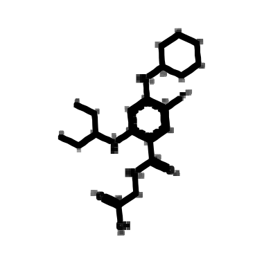 CCC(CC)Nc1cc(NC2CCCCC2)c(F)cc1C(=O)NCC(=O)O